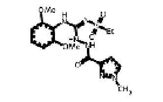 CCS(=O)(=O)/N=C(\NNC(=O)c1ccn(C)n1)Nc1c(OC)cccc1OC